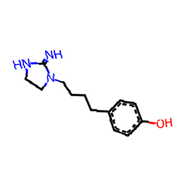 N=C1NCCN1CCCCc1ccc(O)cc1